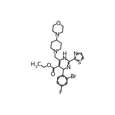 CCOC(=O)C1=C(CN2CCC(N3CCOCC3)CC2)NC(c2nccs2)=NC1c1ccc(F)cc1Br